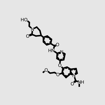 CNC(=O)n1ccc2cc(Oc3ccnc(NC(=O)c4ccc(C5CCN(CCO)C(=O)C5)cc4)c3)c(OCCOC)cc21